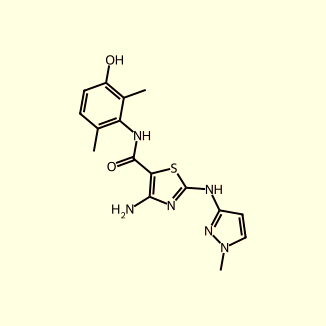 Cc1ccc(O)c(C)c1NC(=O)c1sc(Nc2ccn(C)n2)nc1N